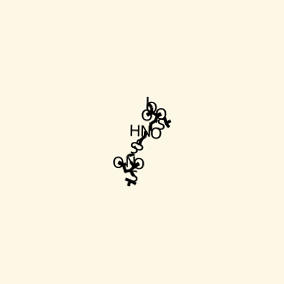 CC(C)(C)SC(CC(=O)NCCSSCCN1C(=O)CC(SC(C)(C)C)C1=O)C(=O)C(=O)OI